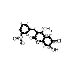 Cc1c(Cc2cccc([N+](=O)[O-])c2)c(=O)oc2cc(O)c(Cl)cc12